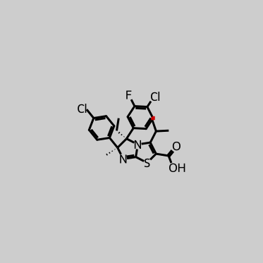 CC[C@]1(c2ccc(Cl)c(F)c2)N2C(=N[C@@]1(C)c1ccc(Cl)cc1)SC(C(=O)O)=C2C(C)C